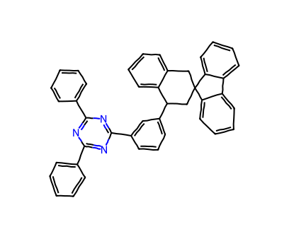 c1ccc(-c2nc(-c3ccccc3)nc(-c3cccc(C4CC5(Cc6ccccc64)c4ccccc4-c4ccccc45)c3)n2)cc1